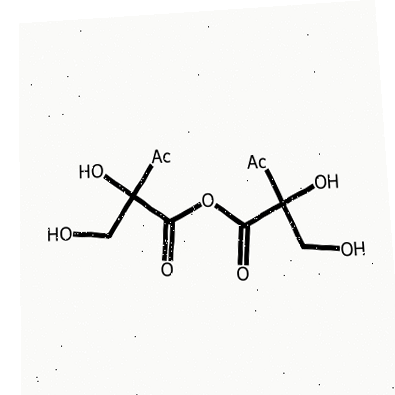 CC(=O)C(O)(CO)C(=O)OC(=O)C(O)(CO)C(C)=O